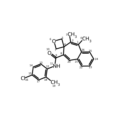 CC1=C(C)C2(COC2)C(C(=O)Nc2ccc(Cl)cc2C)=Cc2ccccc21